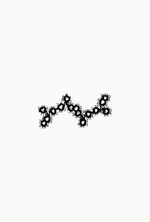 c1ccc(N(c2ccc(-c3ccc(N(c4ccccc4)c4ccc5ccccc5c4)cc3)cc2)c2ccc3c(c2)CCc2cc(N(c4ccccc4)c4ccc(-c5ccc(N(c6ccccc6)c6ccc7ccccc7c6)cc5)cc4)ccc2-3)cc1